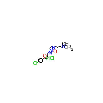 CN(C)CCCCN1CCN(/N=C/c2ccc(-c3ccc(Cl)cc3)o2)C1=O.Cl